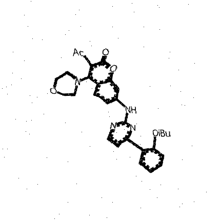 CC(=O)c1c(N2CCOCC2)c2ccc(Nc3nccc(-c4ccccc4OCC(C)C)n3)cc2oc1=O